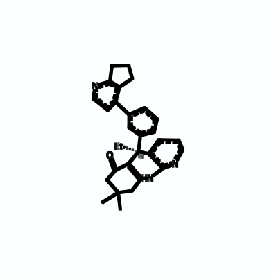 CC[C@@]1(c2cccc(-c3ccnc4c3CCC4)c2)C2=C(CC(C)(C)CC2=O)Nc2ncccc21